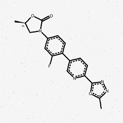 Cc1nnc(-c2ccc(-c3ccc(N4C[C@@H](C)OC4=O)cc3F)cn2)o1